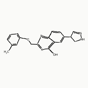 Cc1cccc(OCc2nc(O)c3cc(C4C=NNC4)ccc3n2)c1